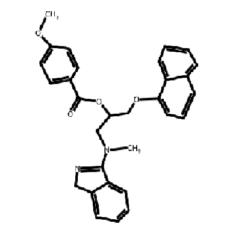 COc1ccc(C(=O)OC(COc2cccc3ccccc23)CN(C)C2=NCc3ccccc32)cc1